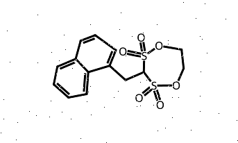 O=S1(=O)OCCOS(=O)(=O)C1Cc1cccc2ccccc12